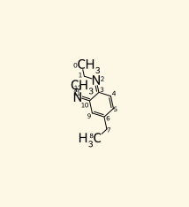 CC/N=C1/C=CC(CC)=C/C1=N/C